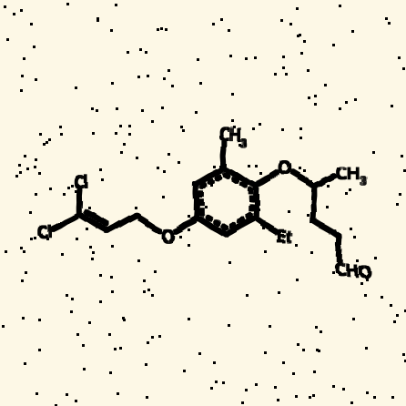 CCc1cc(OCC=C(Cl)Cl)cc(C)c1OC(C)CCC=O